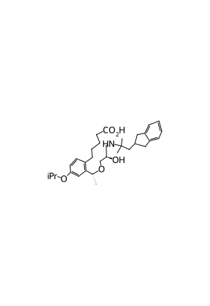 CC(C)Oc1ccc(CCCCC(=O)O)c([C@@H](C)OC[C@H](O)CNC(C)(C)CC2Cc3ccccc3C2)c1